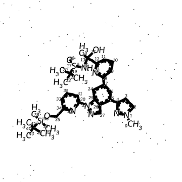 Cn1ccc(-c2cc(-c3cccc(C(C)(O)N[S@+]([O-])C(C)(C)C)n3)cc3c2cnn3-c2cccc(CO[Si](C)(C)C(C)(C)C)n2)n1